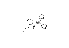 CCCCCCC(OC)C(COC)CC(C)[SiH](c1ccccc1)c1ccccc1